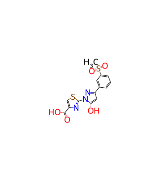 CS(=O)(=O)c1cccc(-c2cc(O)n(-c3nc(C(=O)O)cs3)n2)c1